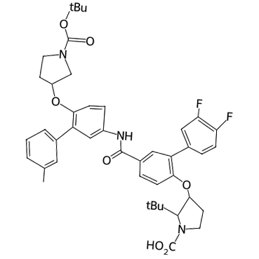 Cc1cccc(-c2cc(NC(=O)c3ccc(OC4CCN(C(=O)O)C4C(C)(C)C)c(-c4ccc(F)c(F)c4)c3)ccc2OC2CCN(C(=O)OC(C)(C)C)C2)c1